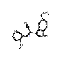 COc1ccncc1/C=C(\C#N)c1c[nH]c2ccc(CN)cc12